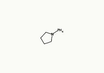 [PH4]N1CCCC1